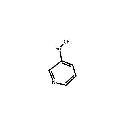 F[C](F)(F)[Sn][c]1cccnc1